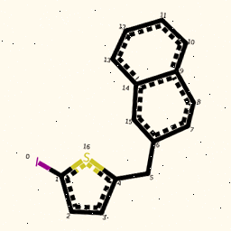 Ic1ccc(Cc2ccc3ccccc3c2)s1